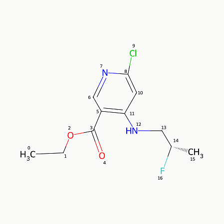 CCOC(=O)c1cnc(Cl)cc1NC[C@H](C)F